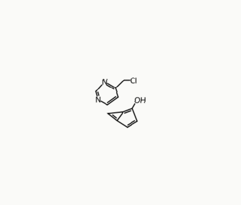 ClCc1ccncn1.Oc1ccc2cc1-2